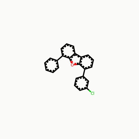 Clc1cccc(-c2cccc3c2oc2c(-c4ccccc4)cccc23)c1